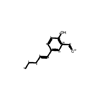 CCCC=Cc1ccc(O)c(C=O)c1